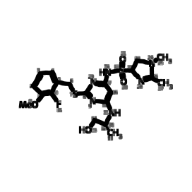 COc1cccc(CSc2nc(N[C@H](C)CO)cc(NS(=O)(=O)C3CN(C)C(C)=N3)n2)c1F